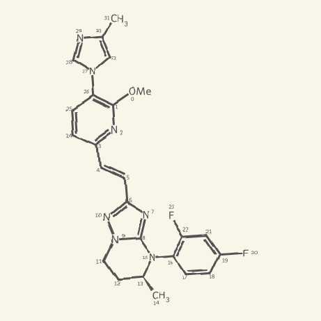 COc1nc(/C=C/c2nc3n(n2)CC[C@H](C)N3c2ccc(F)cc2F)ccc1-n1cnc(C)c1